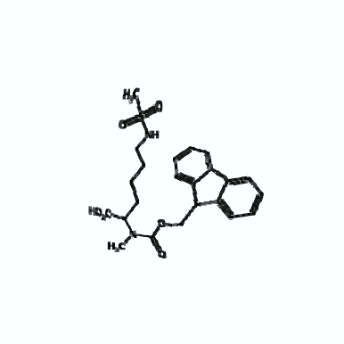 CN(C(=O)OCC1c2ccccc2-c2ccccc21)C(CCCCNS(C)(=O)=O)C(=O)O